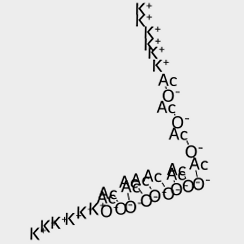 CC(=O)[O-].CC(=O)[O-].CC(=O)[O-].CC(=O)[O-].CC(=O)[O-].CC(=O)[O-].CC(=O)[O-].CC(=O)[O-].CC(=O)[O-].CC(=O)[O-].CC(=O)[O-].CC(=O)[O-].[K+].[K+].[K+].[K+].[K+].[K+].[K+].[K+].[K+].[K+].[K+].[K+]